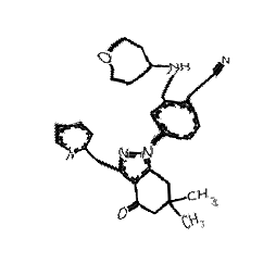 CC1(C)CC(=O)c2c(Cc3ccccn3)nn(-c3ccc(C#N)c(NC4CCOCC4)c3)c2C1